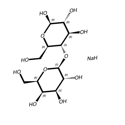 OC[C@H]1O[C@@H](O[C@H]2[C@H](O)[C@@H](O)[C@H](O)O[C@@H]2CO)[C@H](O)[C@@H](O)[C@H]1O.[NaH]